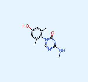 CNc1ncn(-c2c(C)cc(O)cc2C)c(=O)n1